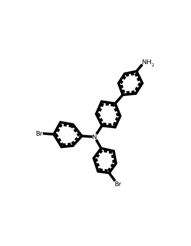 Nc1ccc(-c2ccc(N(c3ccc(Br)cc3)c3ccc(Br)cc3)cc2)cc1